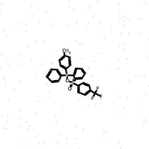 Cc1ccc(S(OS(=O)(=O)c2ccc(C(F)(F)F)cc2)(c2ccccc2)c2ccccc2)cc1